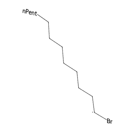 CCCCCCCCCCCC[CH]Br